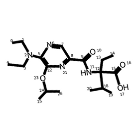 CCN(CC)c1ncc(C(=O)NC(CC)(C(=O)O)C(C)C)nc1OC(C)C